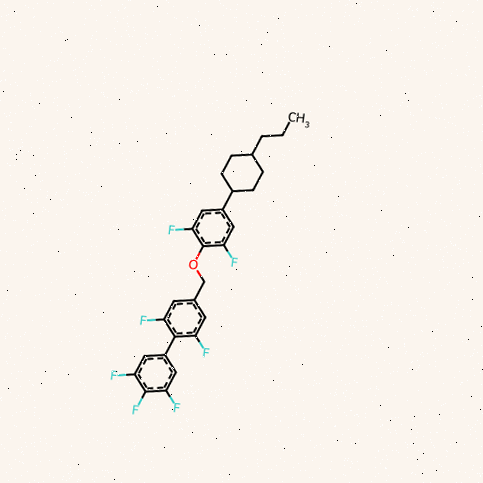 CCCC1CCC(c2cc(F)c(OCc3cc(F)c(-c4cc(F)c(F)c(F)c4)c(F)c3)c(F)c2)CC1